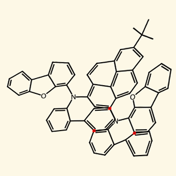 CC(C)(C)c1cc2ccc3c(N(c4ccccc4-c4ccccc4)c4cccc5c4oc4ccccc45)cc(N(c4ccccc4-c4ccccc4)c4cccc5c4oc4ccccc45)c4ccc(c1)c2c34